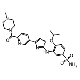 CC(C)Oc1ccc(S(N)(=O)=O)cc1Nc1nc(-c2ccc(C(=O)N3CCN(C)CC3)nc2)cs1